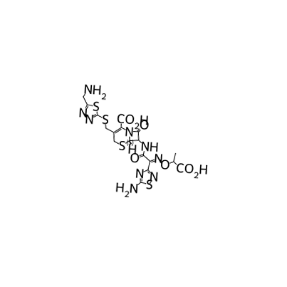 CC(ON=C(C(=O)NC1C(=O)N2C(C(=O)O)=C(CSc3nnc(CN)s3)CS[C@@H]12)c1nsc(N)n1)C(=O)O